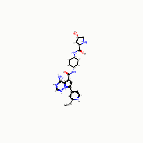 COc1cc(-c2cc(C(=O)N[C@H]3CC[C@H](NC(=O)[C@H]4C[C@@H](O)CN4)CC3)c3c(N)ncnn23)ccn1